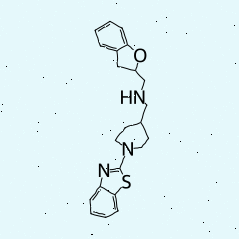 c1ccc2c(c1)CC(CNCC1CCN(c3nc4ccccc4s3)CC1)O2